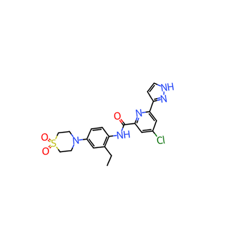 CCc1cc(N2CCS(=O)(=O)CC2)ccc1NC(=O)c1cc(Cl)cc(-c2cc[nH]n2)n1